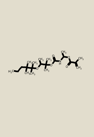 C=C(C)C(=O)OC(C)NC(=O)OC(C)(C)C(C)OC(C)(C)C(C)(C)CCC